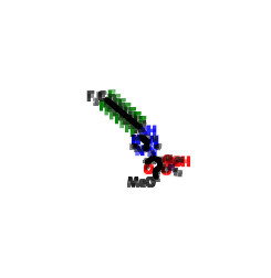 COCC1OCC(n2cnc3c(NC(F)(F)C(F)(F)C(F)(F)C(F)(F)C(F)(F)C(F)(F)C(F)(F)C(F)(F)F)ncnc32)CC1OP(C)(=O)O